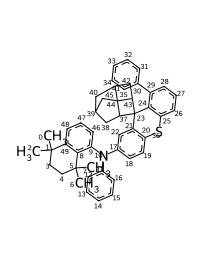 CC1(C)CCC(C)(C)c2c(N(c3ccccc3)c3ccc4c(c3)C3(c5c(cccc5-c5ccccc5)S4)C4CC5CC6CC3C64C5)cccc21